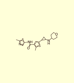 Cc1ncc(NC(=O)c2cc(C3CC3NC3CCOCC3)sc2C)s1